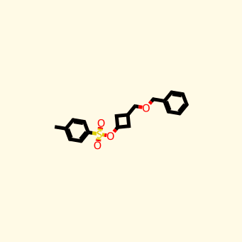 Cc1ccc(S(=O)(=O)OC2CC(COCc3ccccc3)C2)cc1